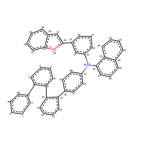 c1ccc(-c2ccccc2-c2ccccc2-c2ccc(N(c3cccc(-c4cc5ccccc5o4)c3)c3cccc4ccccc34)cc2)cc1